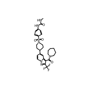 CNC(=O)Nc1ccc(S(=O)(=O)N2CCC(c3ccn4nc(C(F)(F)F)c(C(=O)N5CCCCCC5)c4c3)CC2)cc1